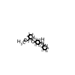 COCc1cccnc1Oc1ccc(Nc2ccccn2)cc1